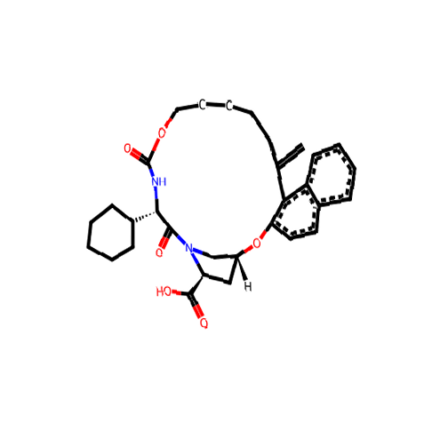 C=C1CCCCCOC(=O)N[C@@H](C2CCCCC2)C(=O)N2C[C@@H](C[C@H]2C(=O)O)Oc2ccc3ccccc3c21